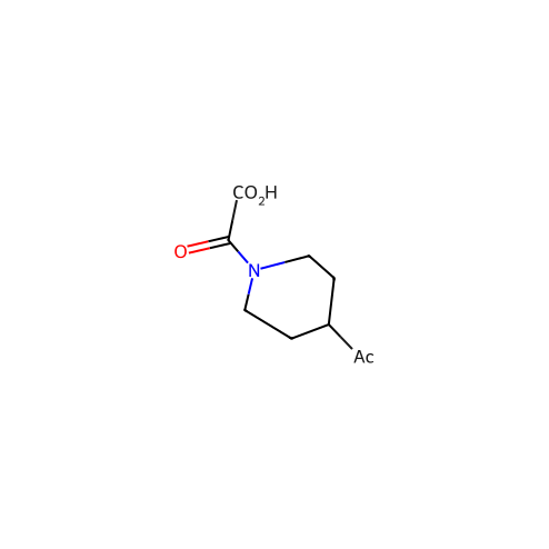 CC(=O)C1CCN(C(=O)C(=O)O)CC1